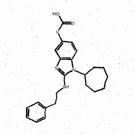 O=C(O)Oc1ccc2c(c1)nc(NCCc1ccccc1)n2C1CCCCCC1